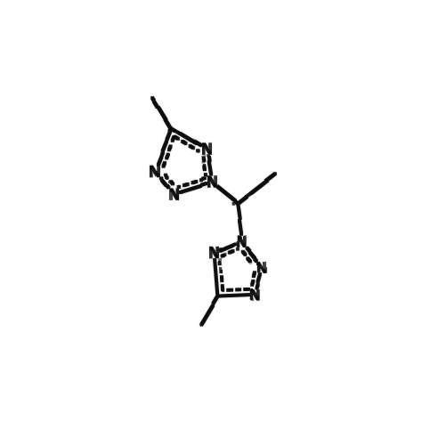 C[C](n1nnc(C)n1)n1nnc(C)n1